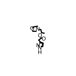 CC(CN1CCOCC1)OC(=O)Cc1cc[nH]n1